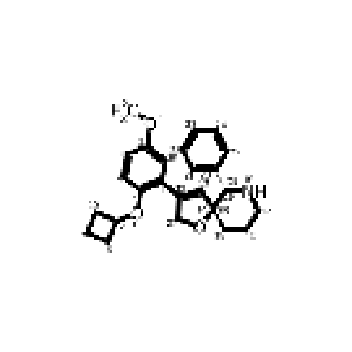 FC(F)(F)Oc1ccc(OC2CCC2)c(C2=C[C@@]3(CCCN[C@H]3c3ccccc3)OC2)c1